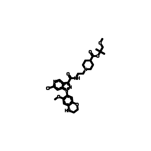 COCC(C)(C)OC(=O)C1CCN(CCNC(=O)c2nn(-c3cc4c(cc3OC)NCCO4)c3cc(Cl)ncc23)CC1